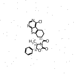 C[C@H]1[C@@H](c2ccccc2)OC(=O)N1C(=O)[C@H]1CCc2c(sc3ncnc(Cl)c23)C1